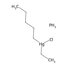 CCCC[CH2][Hg]([Cl])[CH2]C.P